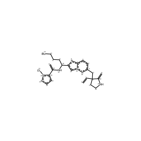 C=CC1(Cc2ccc3nc(C(CCCC(C)CC)NC(=C)c4ccnn4CC)cn3n2)CCNC1=C